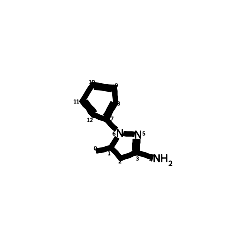 CC1CC(N)=NN1c1ccccc1